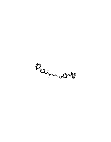 O=C(CCCCCOc1ccc(/C=C/S(=O)(=O)F)cc1)NCc1ccc(-c2nncnn2)cc1